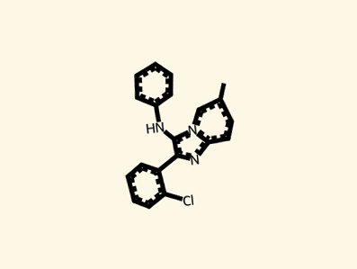 Cc1ccc2nc(-c3ccccc3Cl)c(Nc3ccccc3)n2c1